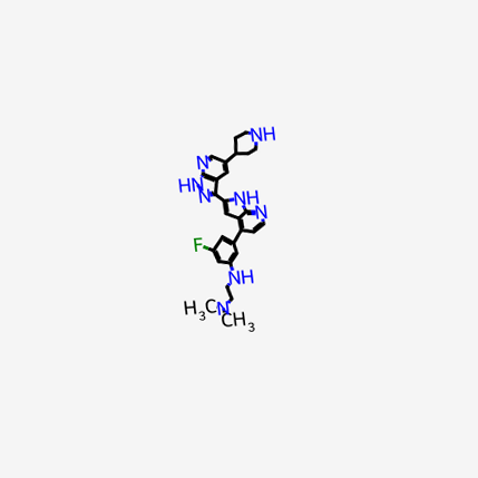 CN(C)CCNc1cc(F)cc(-c2ccnc3[nH]c(-c4n[nH]c5ncc(C6CCNCC6)cc45)cc23)c1